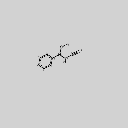 CON(NC#N)c1ccccc1